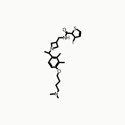 Cc1c(OCCCCN(C)C)ccc(C(C)N2CC(CNC(=O)C3SC=CC3I)C2)c1C